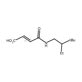 CCCCC(CC)CNC(=O)/C=C/C(=O)O